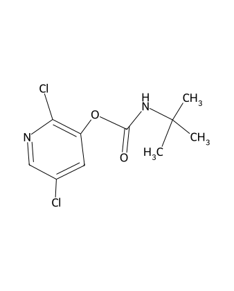 CC(C)(C)NC(=O)Oc1cc(Cl)cnc1Cl